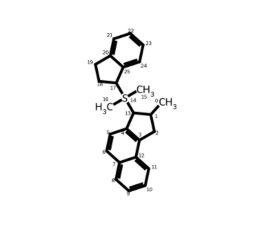 CC1Cc2c(ccc3ccccc23)C1S(C)(C)C1CCc2ccccc21